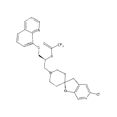 O=C(O[C@H](COc1cccc2cccnc12)CN1CCC2(CC1)Cc1cc(Cl)ccc1O2)C(F)(F)F